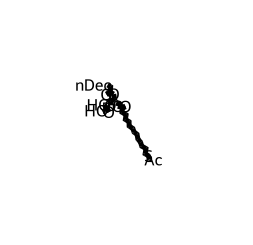 CCCCCCCCCCCC(=O)O[C@H](COC(=O)CCCCCCCCCCCCCSC(C)=O)COP(=O)(O)O